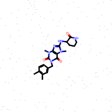 Cc1ccc(Cn2c(=O)c3c(nc(NC4CCCNC4=O)n3C)n(C)c2=O)cc1C